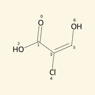 O=C(O)/C(Cl)=C\O